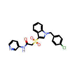 O=C(CS(=O)(=O)c1cn(Cc2ccc(Cl)cc2)c2ccccc12)Nc1cccnc1